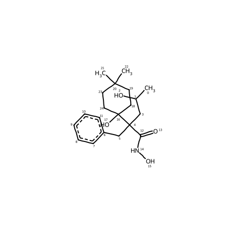 CC(O)CC(Cc1ccccc1)(C(=O)NO)C1(O)CCC(C)(C)CC1